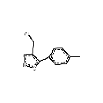 Cc1ccc(-c2oncc2CCl)cc1